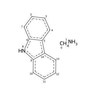 C.N.c1ccc2c(c1)[nH]c1ccccc12